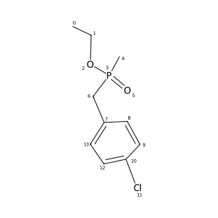 CCOP(C)(=O)Cc1ccc(Cl)cc1